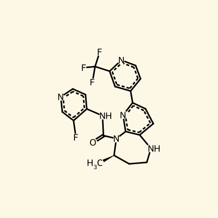 C[C@@H]1CCNc2ccc(-c3ccnc(C(F)(F)F)c3)nc2N1C(=O)Nc1ccncc1F